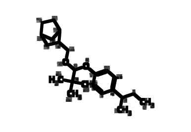 CCC(C)c1ccc(OC(OCC2CC3CCC2C3)C(C)(C)C)cc1